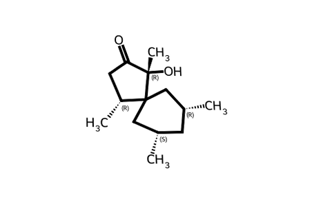 C[C@@H]1C[C@H](C)CC2(C1)[C@H](C)CC(=O)[C@]2(C)O